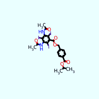 CC(=O)Nc1c(I)c(NC(C)=O)c(I)c(C(=O)OCc2ccc(C(=O)OC(C)C)cc2)c1I